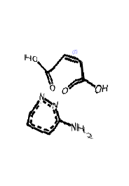 Nc1cccnn1.O=C(O)/C=C\C(=O)O